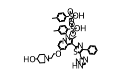 Cc1ccc(S(=O)(=O)O)cc1.Cc1ccc(S(=O)(=O)O)cc1.Cc1nn2ccc(OCCN3CCC(O)CC3)cc2c1-c1nc(-c2ccccc2)c(-c2nc[nH]n2)s1